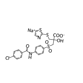 O=C(Nc1ccc(S(=O)(=O)CC(O)(CSc2nccs2)C(=O)[O-])cc1)c1ccc(Cl)cc1.[Na+]